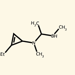 CBC(C)N(C)C1C=C1CC